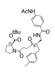 CC(=O)Nc1ccc(C(=O)NC[C@@H](Cc2ccc(C)cc2)C(=O)CCC(=O)N2CCC[C@H]2C(=O)OC(C)(C)C)cc1